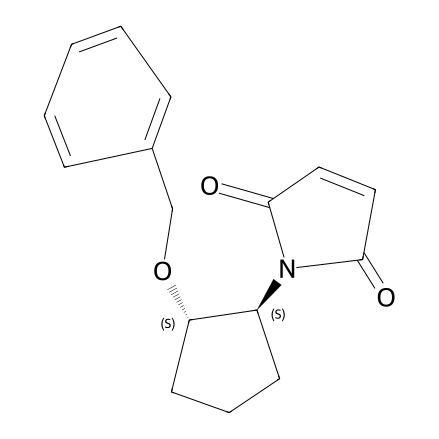 O=C1C=CC(=O)N1[C@H]1CCC[C@@H]1OCc1ccccc1